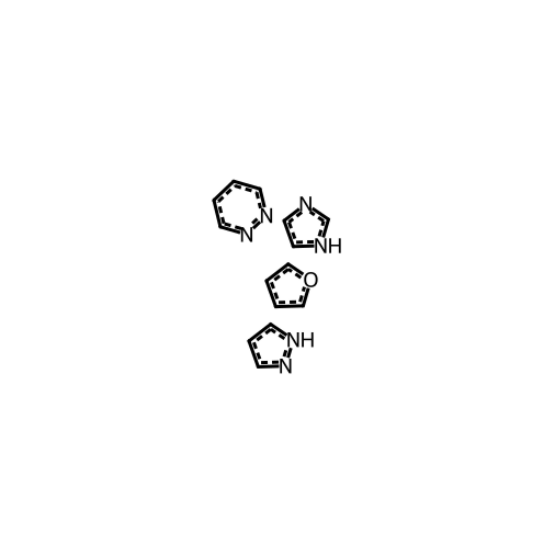 c1c[nH]cn1.c1ccnnc1.c1ccoc1.c1cn[nH]c1